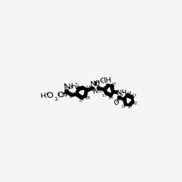 Cl.N[C@@H](Cc1ccc(-c2noc(-c3ccc(NC(=O)c4ccccc4)cc3)n2)cc1)C(=O)O